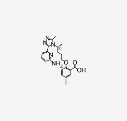 Cc1nnc(-c2cccc(N)n2)n1[C@@H](C)CCCOc1ccc(I)cc1C(=O)O